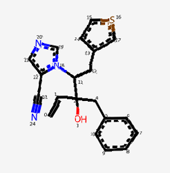 C=CC(O)(Cc1ccccc1)C(Cc1ccsc1)n1cncc1C#N